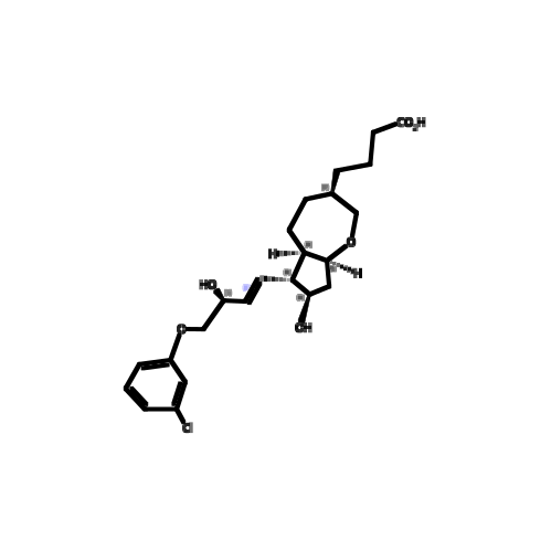 O=C(O)CCC[C@@H]1CC[C@@H]2[C@@H](/C=C/[C@H](O)COc3cccc(Cl)c3)[C@H](O)C[C@@H]2OC1